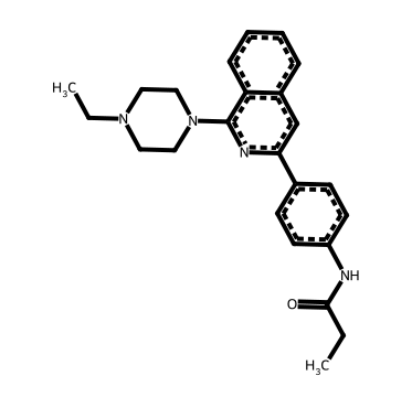 CCC(=O)Nc1ccc(-c2cc3ccccc3c(N3CCN(CC)CC3)n2)cc1